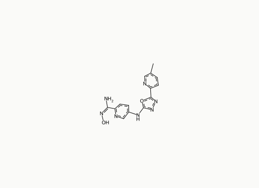 Cc1ccc(-c2nnc(Nc3ccc(/C(N)=N\O)nc3)o2)nc1